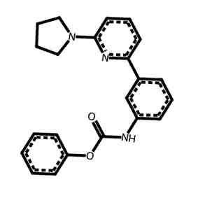 O=C(Nc1cccc(-c2cccc(N3CCCC3)n2)c1)Oc1ccccc1